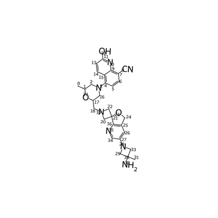 CC1CN(c2ccc(C#N)c3nc(O)ccc23)CC(CN2CC3(C2)OCc2cc(N4CC(C)(N)C4)cnc23)O1